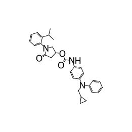 CC(C)c1ccccc1N1CC(OC(=O)Nc2ccc(N(CC3CC3)c3ccccc3)cc2)CC1=O